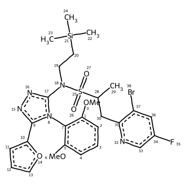 COc1cccc(OC)c1-n1c(-c2ccco2)nnc1N(CC[Si](C)(C)C)S(=O)(=O)C(C)Cc1ncc(F)cc1Br